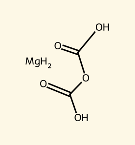 O=C(O)OC(=O)O.[MgH2]